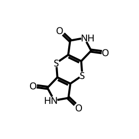 O=c1[nH]c(=O)c2sc3c(=O)[nH]c(=O)c3sc12